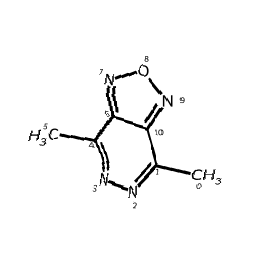 Cc1nnc(C)c2nonc12